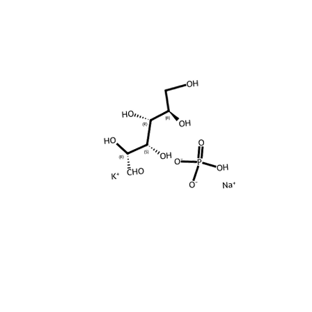 O=C[C@H](O)[C@@H](O)[C@H](O)[C@H](O)CO.O=P([O-])([O-])O.[K+].[Na+]